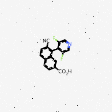 [C-]#[N+]c1ccc2ccc(C(=O)O)cc2c1-c1c(F)cncc1F